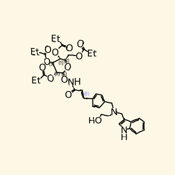 CCC(=O)OC[C@H]1O[C@@H](ONC(=O)/C=C/c2ccc(CN(CCO)Cc3c[nH]c4ccccc34)cc2)[C@H](OC(=O)CC)[C@@H](OC(=O)CC)[C@H]1OC(=O)CC